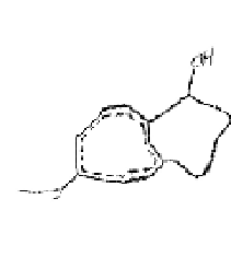 CSc1ccc2c(c1)CCC2O